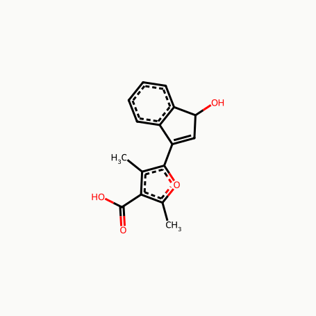 Cc1oc(C2=CC(O)c3ccccc32)c(C)c1C(=O)O